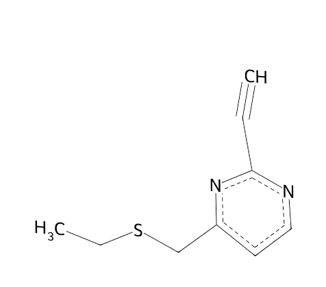 C#Cc1nccc(CSCC)n1